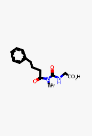 CCCN(C(=O)CCCc1ccccc1)C(=O)NCC(=O)O